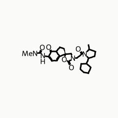 CNC(=O)NC1=CC=C2C(CC[C@]23CN(CC(=O)N2C(C)CCC2C2CCCCC2)C(=O)O3)C1=O